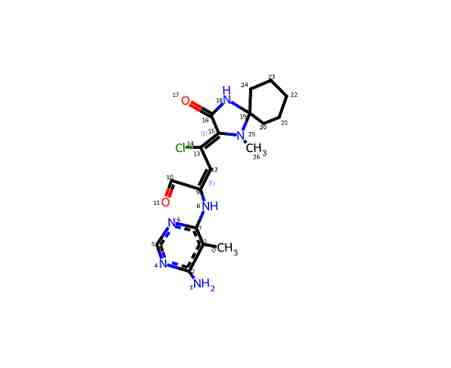 Cc1c(N)ncnc1N/C(C=O)=C/C(Cl)=C1/C(=O)NC2(CCCCC2)N1C